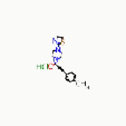 Cc1ccc(C#CC(=O)N2CCN(c3nccs3)CC2)cc1.Cl